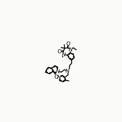 CCN1C(=O)C(C)(C)C(=O)N(C)c2cc(CCCN(CCn3ccc4ccccc4c3=O)Cc3cnccc3C)ccc21